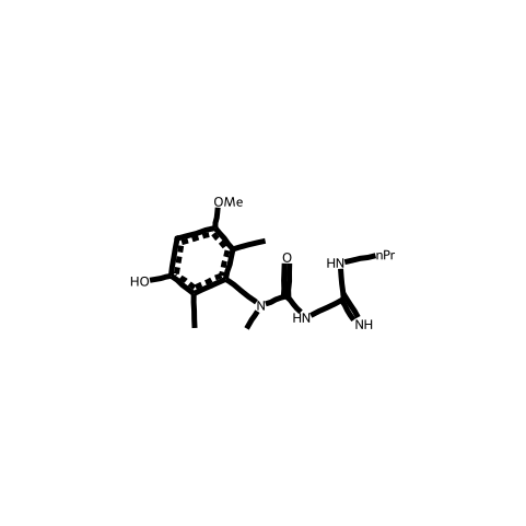 CCCNC(=N)NC(=O)N(C)c1c(C)c(O)cc(OC)c1C